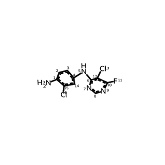 Nc1ccc(Nc2ncnc(F)c2Cl)cc1Cl